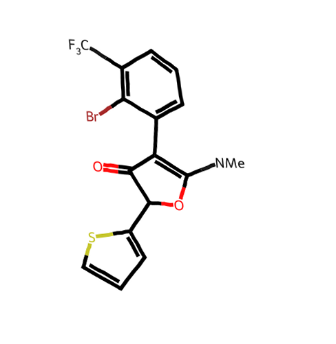 CNC1=C(c2cccc(C(F)(F)F)c2Br)C(=O)C(c2cccs2)O1